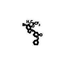 CC(Oc1cc(Br)cc2c1N(Cc1ccn(Cc3ccccc3)c(=O)c1)CC2)C(F)(F)F